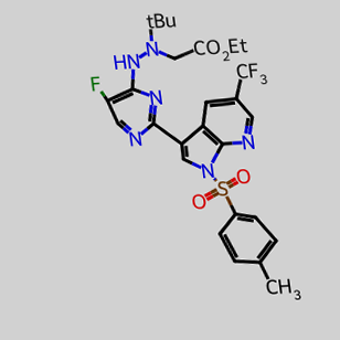 CCOC(=O)CN(Nc1nc(-c2cn(S(=O)(=O)c3ccc(C)cc3)c3ncc(C(F)(F)F)cc23)ncc1F)C(C)(C)C